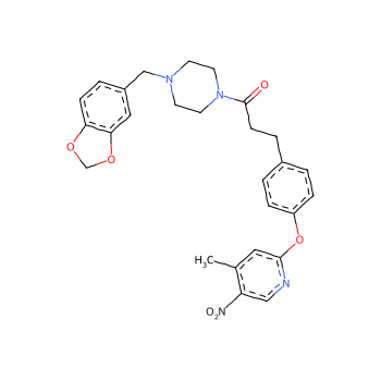 Cc1cc(Oc2ccc(CCC(=O)N3CCN(Cc4ccc5c(c4)OCO5)CC3)cc2)ncc1[N+](=O)[O-]